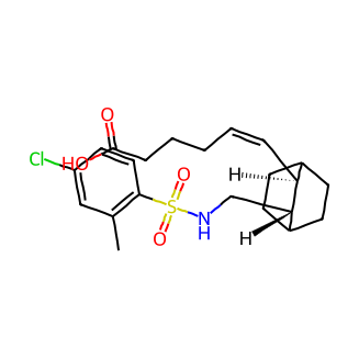 Cc1cc(Cl)ccc1S(=O)(=O)NC[C@H]1C2CCC(CC2)[C@@H]1/C=C\CCCC(=O)O